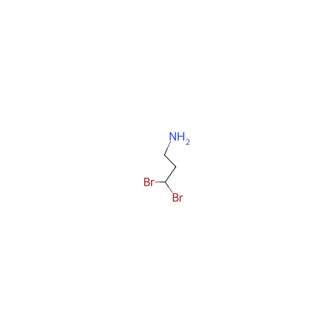 NCCC(Br)Br